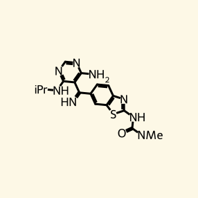 CNC(=O)Nc1nc2ccc(C(=N)c3c(N)ncnc3NC(C)C)cc2s1